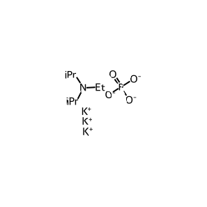 CCN(C(C)C)C(C)C.O=P([O-])([O-])[O-].[K+].[K+].[K+]